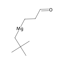 CC(C)(C)[CH2][Mg][CH2]CC=O